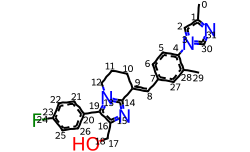 Cc1cn(-c2ccc(/C=C3\CCCn4c3nc(CO)c4-c3ccc(F)cc3)cc2C)cn1